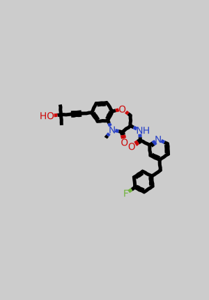 CN1C(=O)C(NC(=O)c2cc(Cc3ccc(F)cc3)ccn2)COc2ccc(C#CC(C)(C)O)cc21